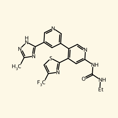 CCNC(=O)Nc1cc(-c2nc(C(F)(F)F)cs2)c(-c2cncc(-c3nc(C)n[nH]3)c2)cn1